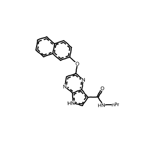 CCCNC(=O)c1c[nH]c2ncc(Oc3ccc4ccccc4c3)nc12